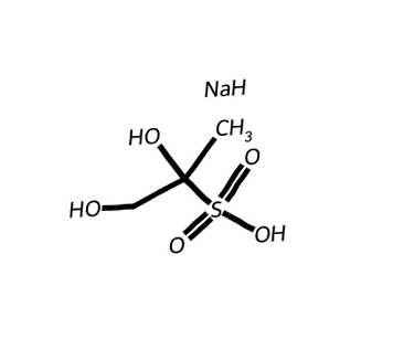 CC(O)(CO)S(=O)(=O)O.[NaH]